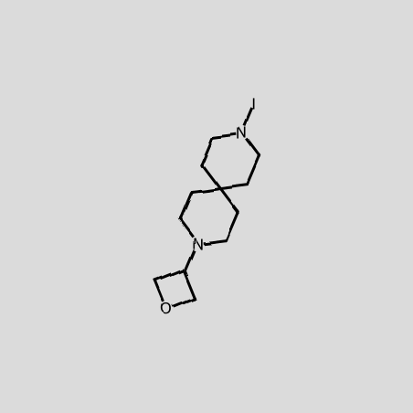 IN1CCC2(CC1)CCN(C1COC1)CC2